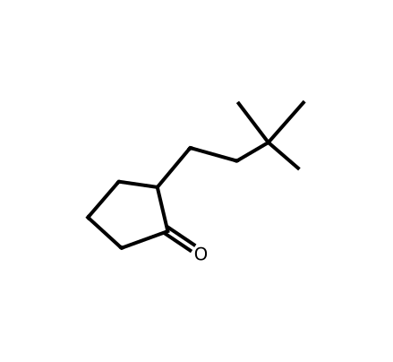 CC(C)(C)CCC1CCCC1=O